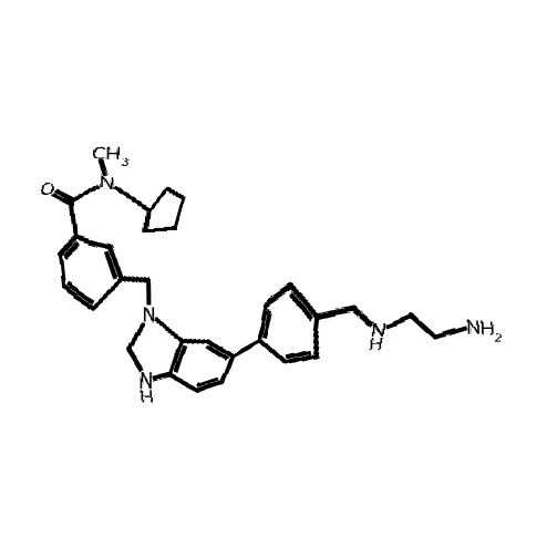 CN(C(=O)c1cccc(CN2CNc3ccc(-c4ccc(CNCCN)cc4)cc32)c1)C1CCCC1